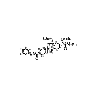 CCCCON(C(=O)OC(C)(C)C)[C@@H]1CC[C@@H](C(=O)NC2CCN(C(=O)OCc3ccccc3)CC2)N(C(=O)OC(C)(C)C)C1